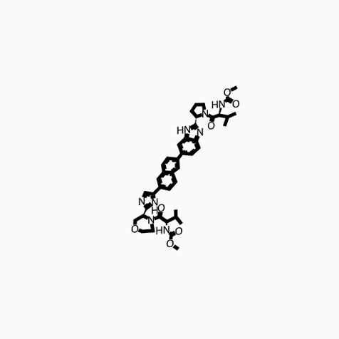 COC(=O)N[C@H](C(=O)N1CCOC[C@H]1c1ncc(-c2ccc3cc(-c4ccc5nc([C@@H]6CCCN6C(=O)[C@@H](NC(=O)OC)C(C)C)[nH]c5c4)ccc3c2)[nH]1)C(C)C